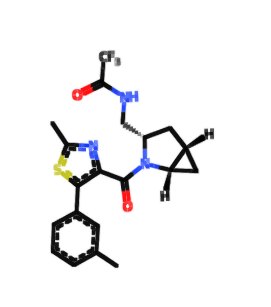 Cc1cccc(-c2sc(C)nc2C(=O)N2[C@H](CNC(=O)C(F)(F)F)C[C@@H]3C[C@@H]32)c1